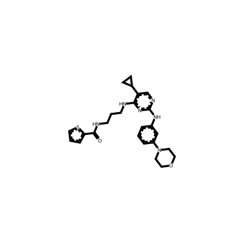 O=C(NCCCNc1nc(Nc2cccc(N3CCOCC3)c2)ncc1C1CC1)c1cccs1